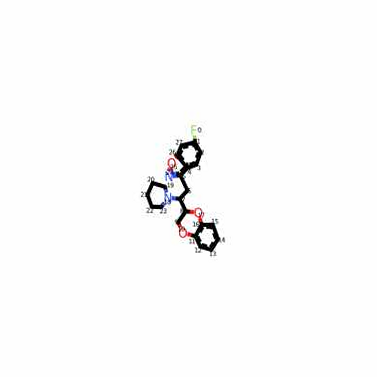 Fc1ccc2c(CC(C3COc4ccccc4O3)N3CCCCC3)noc2c1